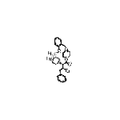 COc1ccccc1CN1CCN(C(=O)C(C(Cl)Cc2ccccc2)N2CCNCC2)CC1